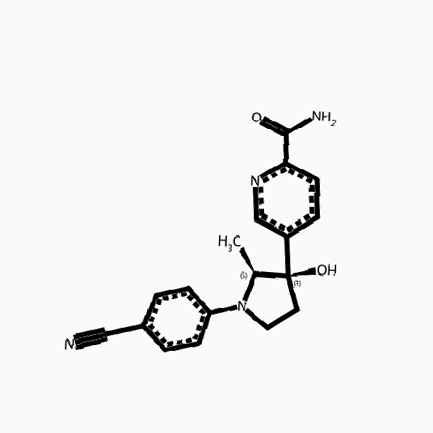 C[C@@H]1N(c2ccc(C#N)cc2)CC[C@@]1(O)c1ccc(C(N)=O)nc1